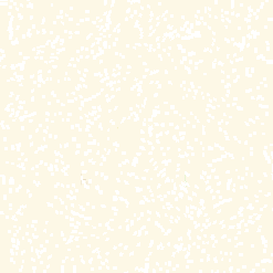 Fc1cc(Cl)cc(Cc2cc3cccc(Br)c3s2)c1